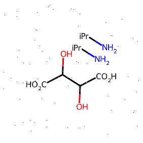 CC(C)N.CC(C)N.O=C(O)C(O)C(O)C(=O)O